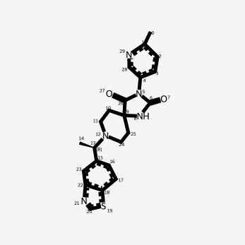 Cc1ccc(N2C(=O)NC3(CCN([C@H](C)c4ccc5scnc5c4)CC3)C2=O)cn1